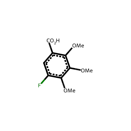 COc1c(F)cc(C(=O)O)c(OC)c1OC